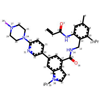 C=CC(=O)Nc1cc(C)cc(CCC)c1CNC(=O)c1cc(-c2ccc(N3CCN(I)CC3)nc2)cc2c1ccn2C(C)C